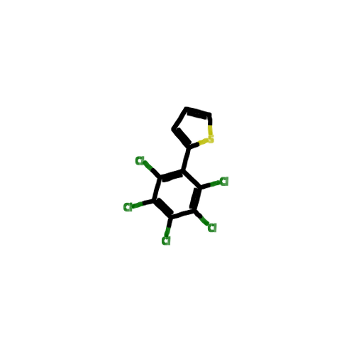 Clc1c(Cl)c(Cl)c(-c2cccs2)c(Cl)c1Cl